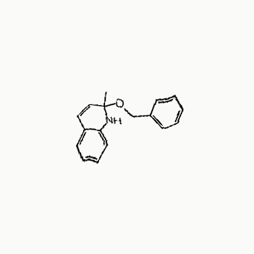 CC1(OCc2ccccc2)C=Cc2ccccc2N1